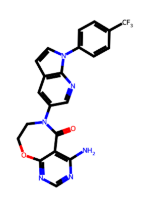 Nc1ncnc2c1C(=O)N(c1cnc3c(ccn3-c3ccc(C(F)(F)F)cc3)c1)CCO2